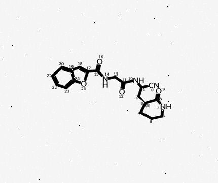 N#CC(C[C@@H]1CCCNC1=O)NC(=O)CNC(=O)c1cc2ccccc2o1